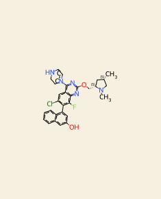 C[C@H]1C[C@@H](COc2nc(N3CC4CCCC3CN4)c3cc(Cl)c(-c4cc(O)cc5ccccc45)c(F)c3n2)N(C)C1